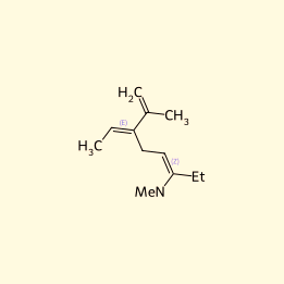 C=C(C)/C(=C/C)C/C=C(/CC)NC